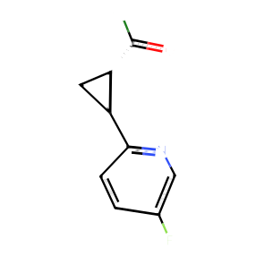 O=C(Cl)[C@H]1CC1c1ccc(F)cn1